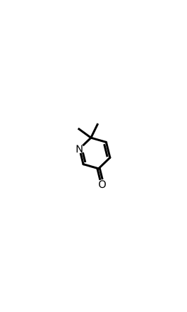 CC1(C)C=CC(=O)C=N1